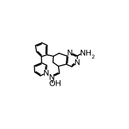 Nc1ncc2c(n1)CC(c1ccccc1-c1cccnc1)CC2C=NO